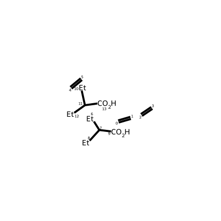 C=C.C=C.C=C.CCC(CC)C(=O)O.CCC(CC)C(=O)O